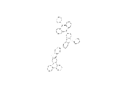 c1ccc(-c2c3ccccc3c(-c3ccc4c(c3)c3cc(-c5ccc6oc7cc8c9ccccc9c9ccccc9c8cc7c6c5)ccc3n4-c3ccccc3)c3ccccc23)cc1